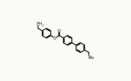 CCC(C)Cc1ccc(-c2ccc(C(=O)Oc3ccc(CP)cc3)cc2)cc1